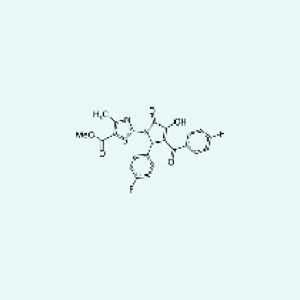 COC(=O)c1sc(N2C(=O)C(O)=C(C(=O)c3ccc(F)cc3)C2c2ccc(F)cc2)nc1C